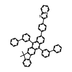 CC1(C)c2ccccc2-c2cc3c(-c4cccc(-c5ccccc5)c4)c4ccc(-c5ccc(-c6cn7ccccc7n6)cc5)cc4c(-c4cccc(-c5ccccc5)c4)c3cc21